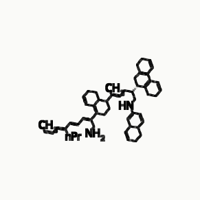 C\C=C/C=C(/C=C/C=C(\CN)C1=C2C=CCCC2C(/C(C)=C/CC(CNC2=CC3C=CCCC3C=C2)[C@@H]2CC3=C(C=CCC3)C3=C2CCC=C3)CC1)CCC